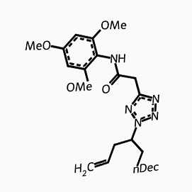 C=CCC(CCCCCCCCCCC)n1nnc(CC(=O)Nc2c(OC)cc(OC)cc2OC)n1